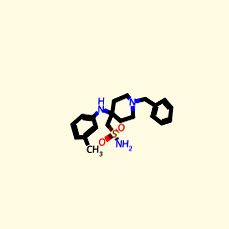 Cc1cccc(NC2(CS(N)(=O)=O)CCN(Cc3ccccc3)CC2)c1